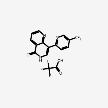 O=C(O)C(F)(F)F.O=c1[nH]cc(-c2ccc(C(F)(F)F)cn2)c2ncccc12